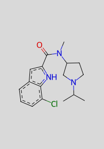 CC(C)N1CCC(N(C)C(=O)c2cc3cccc(Cl)c3[nH]2)C1